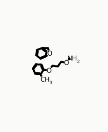 Cc1ccccc1OCCCON.c1cc2cc(c1)OC2